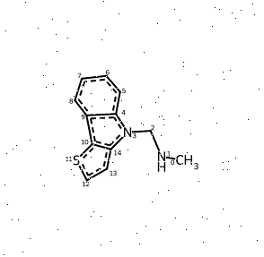 CNCn1c2ccccc2c2sccc21